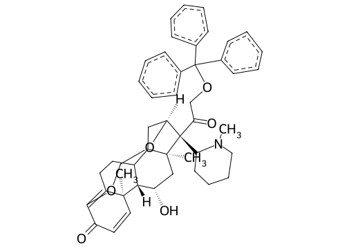 CN1CCCCC1[C@]1(C(=O)COC(c2ccccc2)(c2ccccc2)c2ccccc2)[C@@H]2CC3C4CCC5=C(OCO2)C(=O)C=C[C@]5(C)[C@H]4[C@@H](O)C[C@@]31C